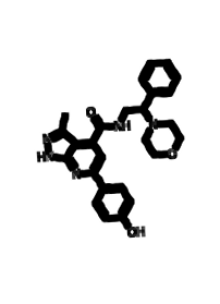 Cc1n[nH]c2nc(-c3ccc(O)cc3)cc(C(=O)NCC(c3ccccc3)N3CCOCC3)c12